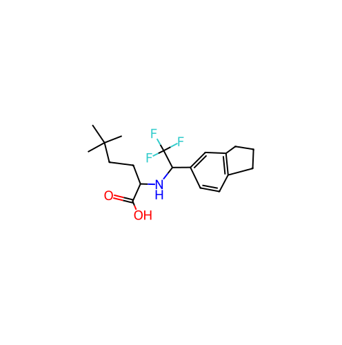 CC(C)(C)CCC(NC(c1ccc2c(c1)CCC2)C(F)(F)F)C(=O)O